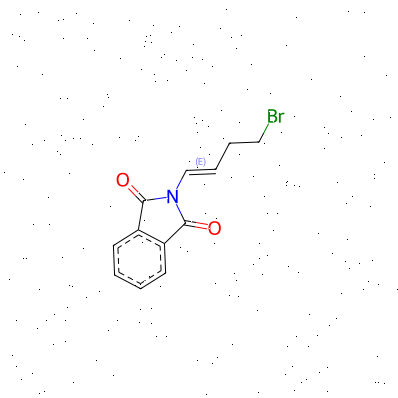 O=C1c2ccccc2C(=O)N1/C=C/CCBr